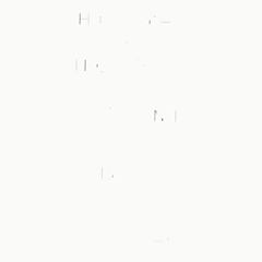 CC(C)(C)OC(=O)NC(CS)CCCS